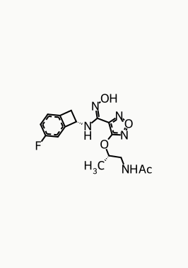 CC(=O)NC[C@H](C)Oc1nonc1/C(=N\O)N[C@H]1Cc2ccc(F)cc21